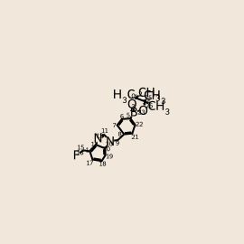 CC1(C)OB(c2ccc(Cn3cnc4c(CF)cccc43)cc2)OC1(C)C